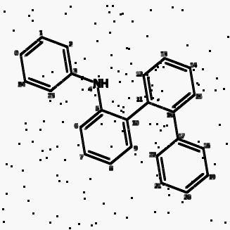 c1ccc(Nc2ccccc2-c2ccccc2-c2ccccc2)cc1